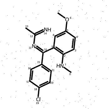 CNc1ccc(OC)cc1/C(=N\C(C)=N)c1ccc(Cl)cc1